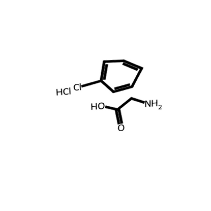 Cl.Clc1ccccc1.NCC(=O)O